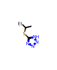 CC[C](C)Sc1nnn[nH]1